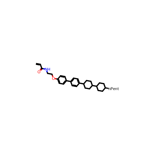 C=CC(=O)NCCOc1ccc(-c2ccc(C3CCC(C4CCC(CCCCC)CC4)CC3)cc2)cc1